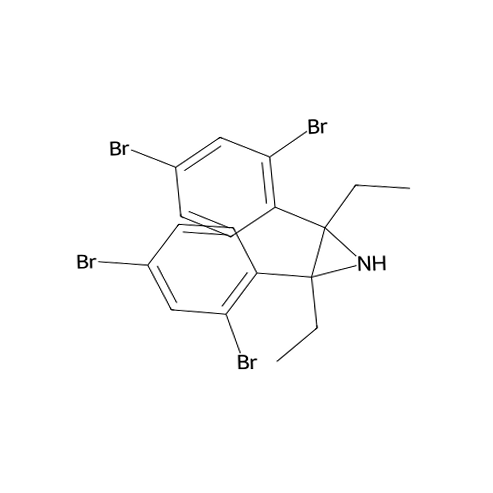 CCC1(c2ccc(Br)cc2Br)NC1(CC)c1ccc(Br)cc1Br